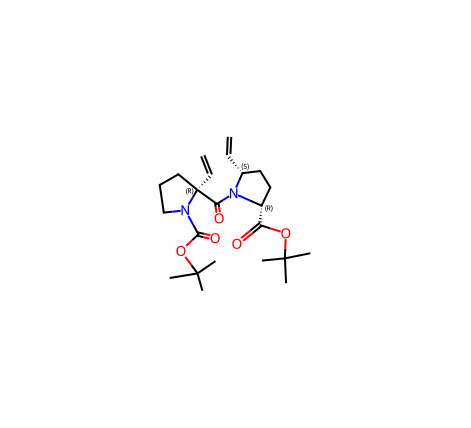 C=C[C@@H]1CC[C@H](C(=O)OC(C)(C)C)N1C(=O)[C@]1(C=C)CCCN1C(=O)OC(C)(C)C